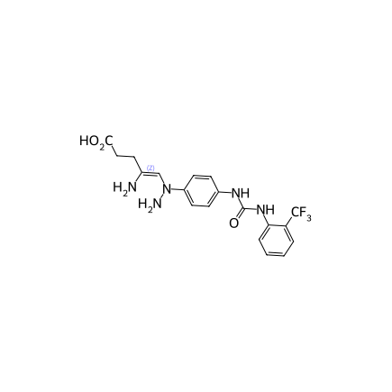 N/C(=C\N(N)c1ccc(NC(=O)Nc2ccccc2C(F)(F)F)cc1)CCC(=O)O